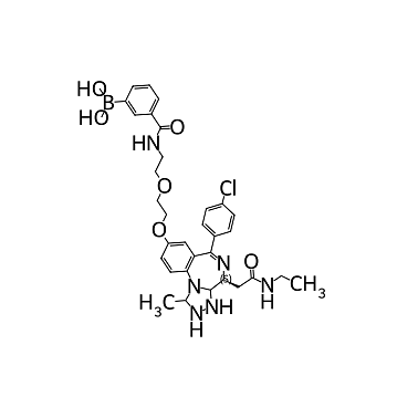 CCNC(=O)C[C@@H]1N=C(c2ccc(Cl)cc2)c2cc(OCCOCCNC(=O)c3cccc(B(O)O)c3)ccc2N2C(C)NNC12